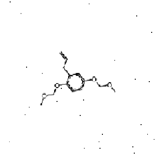 C=CCc1cc(OCOC)ccc1OCOC